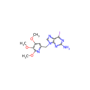 COc1cc(Cn2cnc3c(I)nc(N)nc32)nc(OC)c1OC